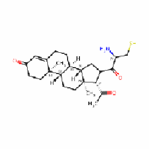 CC(=O)[C@H]1C(C(=O)[C@@H](N)CS)C[C@H]2[C@@H]3CCC4=CC(=O)CC[C@]4(C)[C@H]3CC[C@]12C